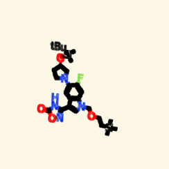 CC(C)(C)[Si](C)(C)O[C@H]1CCN(c2cc3c(-c4noc(=O)[nH]4)cn(COCC[Si](C)(C)C)c3cc2F)C1